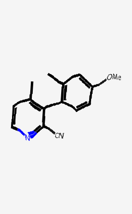 COc1ccc(-c2c(C)ccnc2C#N)c(C)c1